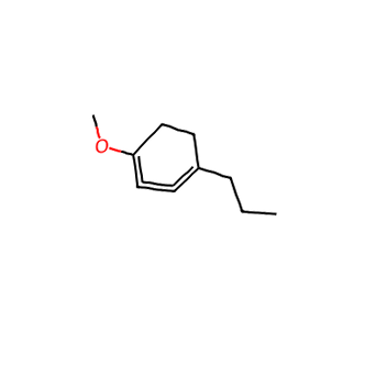 CCCC1=C=C=C(OC)CC1